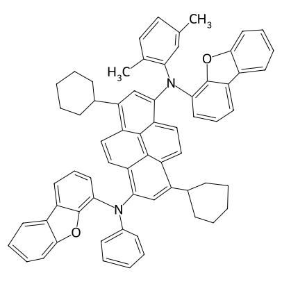 Cc1ccc(C)c(N(c2cc(C3CCCCC3)c3ccc4c(N(c5ccccc5)c5cccc6c5oc5ccccc56)cc(C5CCCCC5)c5ccc2c3c54)c2cccc3c2oc2ccccc23)c1